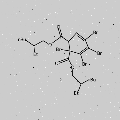 CCCCC(CC)COC(=O)C1C=C(Br)C(Br)=C(Br)C1(Br)C(=O)OCC(CC)CCCC